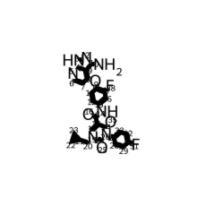 Nc1n[nH]c2nccc(Oc3ccc(NC(=O)c4cn(CC5CC5)c(=O)n(-c5ccc(F)cc5)c4=O)cc3F)c12